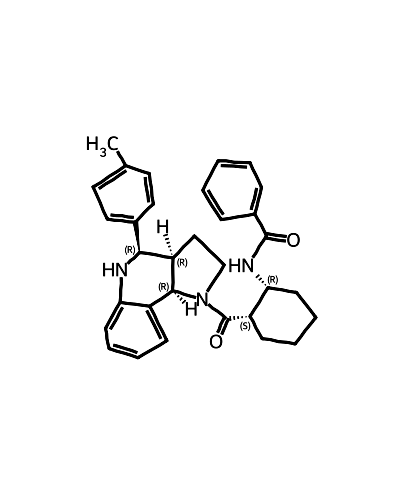 Cc1ccc([C@@H]2Nc3ccccc3[C@H]3[C@@H]2CCN3C(=O)[C@H]2CCCC[C@H]2NC(=O)c2ccccc2)cc1